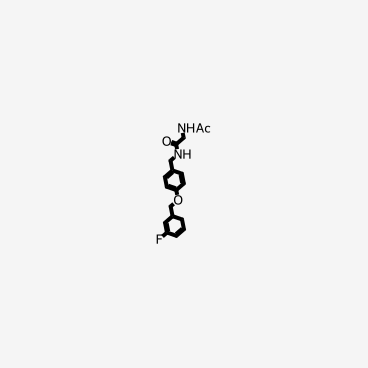 CC(=O)NCC(=O)NCc1ccc(OCC2C=C(F)C=CC2)cc1